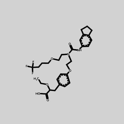 CCOC(Cc1ccc(OCCN(CCOCCCC(F)(F)F)C(=O)Nc2ccc3c(c2)CCC3)cc1)C(=O)O